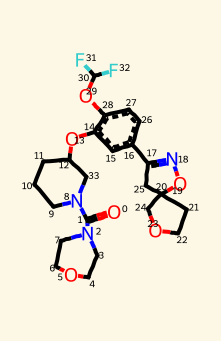 O=C(N1CCOCC1)N1CCCC(Oc2cc(C3=NOC4(CCOC4)C3)ccc2OC(F)F)C1